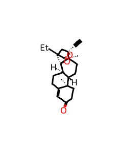 C#C[C@]12CC[C@@]3(OC(CC)O1)[C@@H]1CCC4=CC(=O)CC[C@]4(C)[C@H]1CC[C@]23C